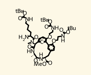 COC(=O)[C@@H]1Cc2ccc(OCCNC(=O)OC(C)(C)C)c(c2)-c2cc(ccc2OCCNC(=O)OC(C)(C)C)[C@H](N(C)C(=O)C(N)CCCCNC(=O)OC(C)(C)C)C(=O)N[C@@H](C)C(=O)N1